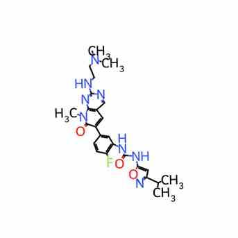 CC(C)c1cc(NC(=O)Nc2cc(-c3cc4cnc(NCCN(C)C)nc4n(C)c3=O)ccc2F)on1